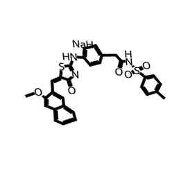 COc1cc2ccccc2cc1C=C1SC(Nc2ccc(CC(=O)NS(=O)(=O)c3ccc(C)cc3)cc2)=NC1=O.[NaH]